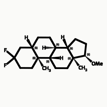 CO[C@H]1CC[C@H]2[C@@H]3CC[C@H]4CC(F)(F)CC[C@]4(C)[C@H]3CC[C@]12C